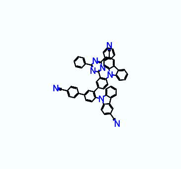 N#Cc1ccc(-c2ccc(-n3c4ccccc4c4cc(C#N)ccc43)c(-c3ccc(-n4c5ccccc5c5cc(C#N)ccc54)c(-c4nc(-c5ccccc5)nc(-c5ccccc5)n4)c3)c2)cc1